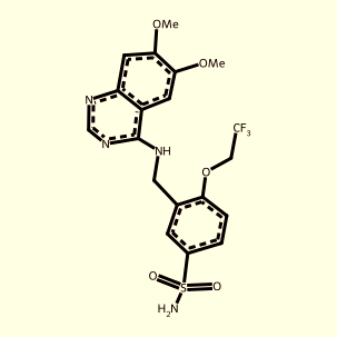 COc1cc2ncnc(NCc3cc(S(N)(=O)=O)ccc3OCC(F)(F)F)c2cc1OC